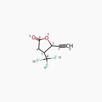 C#CC1OC(=O)CC1C(F)(F)F